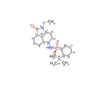 CCN1C(=O)c2cccc3c(NS(=O)(=O)c4ccccc4C(C)(C)C)ccc1c23